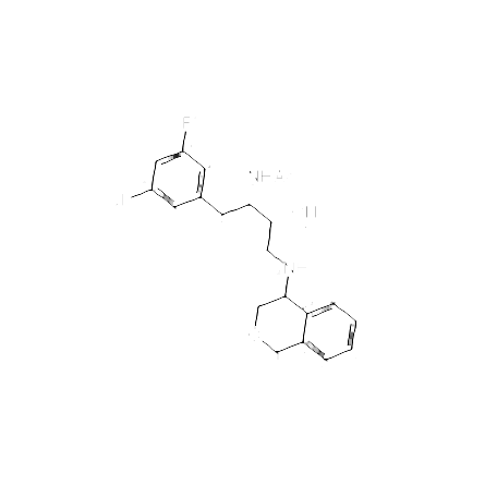 CC(=O)N[C@@H](Cc1cc(F)cc(F)c1)[C@H](O)CNC1COCc2ccccc21